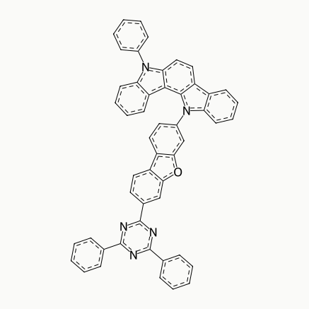 c1ccc(-c2nc(-c3ccccc3)nc(-c3ccc4c(c3)oc3cc(-n5c6ccccc6c6ccc7c(c8ccccc8n7-c7ccccc7)c65)ccc34)n2)cc1